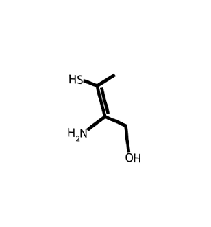 C/C(S)=C(/N)CO